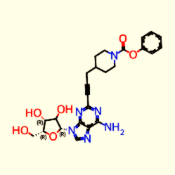 Nc1nc(C#CCC2CCN(C(=O)Oc3ccccc3)CC2)nc2c1ncn2[C@@H]1O[C@H](CO)[C@H](O)C1O